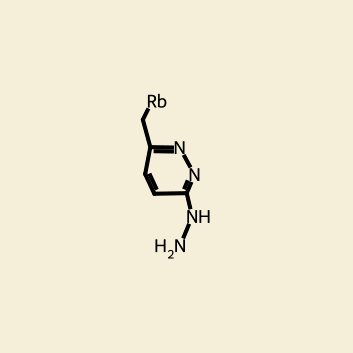 NNc1ccc([CH2][Rb])nn1